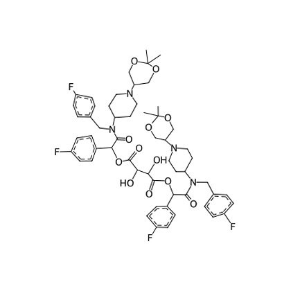 CC1(C)OCC(N2CCC(N(Cc3ccc(F)cc3)C(=O)C(OC(=O)C(O)C(O)C(=O)OC(C(=O)N(Cc3ccc(F)cc3)C3CCN(C4COC(C)(C)OC4)CC3)c3ccc(F)cc3)c3ccc(F)cc3)CC2)CO1